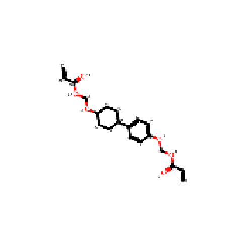 C=CC(=O)OCOc1ccc(C2CCC(OCOC(=O)C=C)CC2)cc1